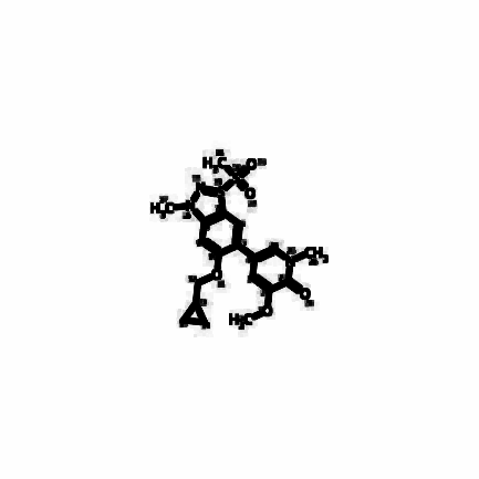 COc1cc(-c2cc3c(cc2OCC2CC2)N(C)N=S3S(C)(=O)=O)cn(C)c1=O